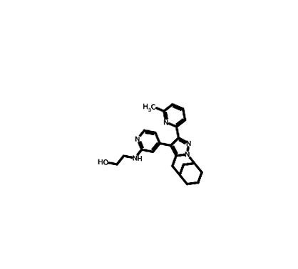 Cc1cccc(-c2nn3c(c2-c2ccnc(NCCO)c2)CC2CCCC3C2)n1